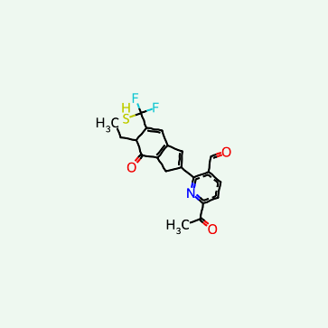 CCC1C(=O)C2=C(C=C(c3nc(C(C)=O)ccc3C=O)C2)C=C1C(F)(F)S